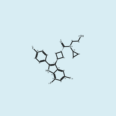 O=C([C@H]1C[C@H](c2c(-c3ccc(F)cc3)[nH]c3c(F)cc(F)cc32)C1)N(CCO)C1CC1